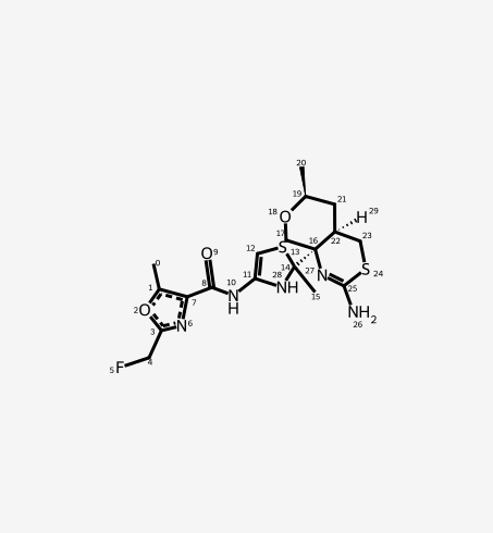 Cc1oc(CF)nc1C(=O)NC1=CSC(C)([C@]23CO[C@@H](C)C[C@H]2CSC(N)=N3)N1